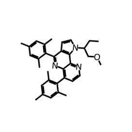 CCC(COC)n1ccc2c(-c3c(C)cc(C)cc3C)nc3c(-c4c(C)cc(C)cc4C)ccnc3c21